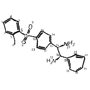 Cc1ccccc1S(=O)(=O)c1ccc([C@@H](N)[C@H](N)c2ccccc2)cc1